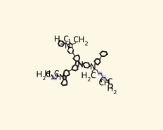 C=C/C=C\C(=C)n1c2ccccc2c2cc(-c3ccc4c(c3)c3cc(C5=CC6C(C=C)=C(C=C)N(c7ccccc7)C6C=C5)ccc3n4-c3ccc(N(c4ccc(-c5ccccc5)cc4)C(C=C)C/C=C/C(C=C)=C/C=C)cc3)ccc21